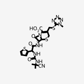 Cn1nnnc1SCC1=C(C(=O)O)N2C(=O)[C@H](NC(=O)C(NC(=O)NC(C)(C)C#N)c3cccs3)C2SC1